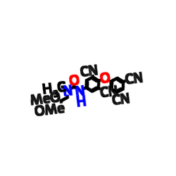 COC(CN(C)C(=O)Nc1cc(C#N)c(Oc2cc(C#N)cc(C#N)c2)c(C#N)c1)OC